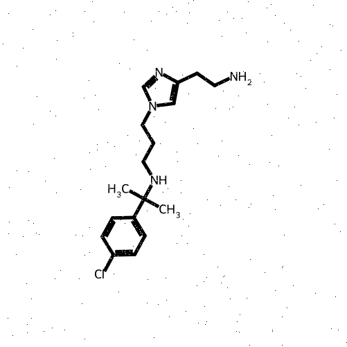 CC(C)(NCCCn1cnc(CCN)c1)c1ccc(Cl)cc1